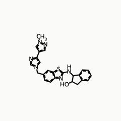 Cn1cc(-c2cn(Cc3ccc4nc(NC5c6ccccc6CC5O)sc4c3)cn2)cn1